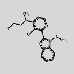 CSn1c(-c2nccc(N(C)CCCl)c2Cl)nc2ccccc21